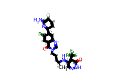 C[C@@H](CCCn1cnc2cc(-c3ccc(Cl)c(N)n3)c(F)cc2c1=O)Nc1cn[nH]c(=O)c1C(F)(F)F